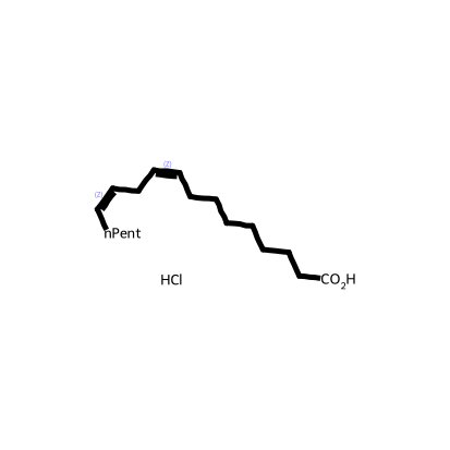 CCCCC/C=C\C/C=C\CCCCCCCC(=O)O.Cl